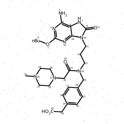 CCCCOc1nc(N)c2[nH]c(=O)n(CCCN(Cc3ccc(CC(=O)O)cc3)C(=O)CN3CCN(C)CC3)c2n1